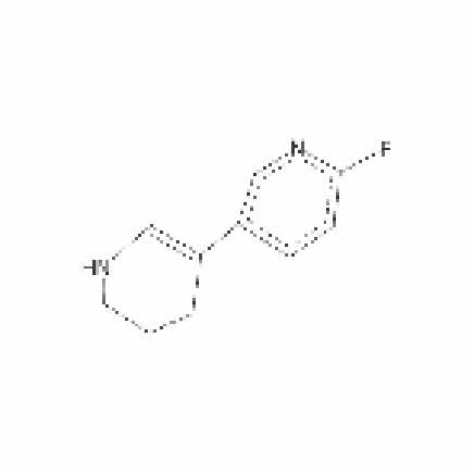 Fc1ccc(C2=CNCCC2)cn1